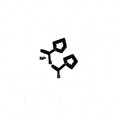 O=C(Cl)[c-]1cccc1.O=C(Cl)[c-]1cccc1.[Fe+2]